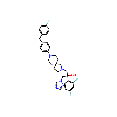 OC(CN1CCC2(CCN(c3ccc(Cc4ccc(F)cc4)cc3)CC2)C1)(Cn1cncn1)c1ccc(F)cc1F